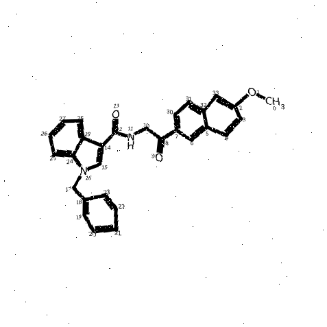 COc1ccc2cc(C(=O)CNC(=O)c3cn(Cc4ccccc4)c4ccccc34)ccc2c1